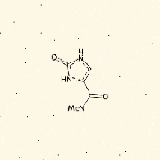 CNC(=O)c1c[nH]c(=O)[nH]1